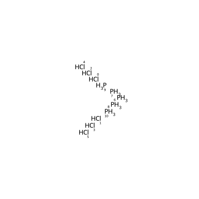 Cl.Cl.Cl.Cl.Cl.Cl.P.P.P.P.P